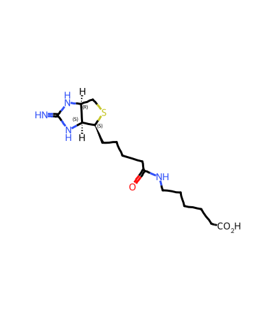 N=C1N[C@H]2[C@H](CS[C@H]2CCCCC(=O)NCCCCCC(=O)O)N1